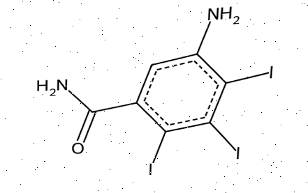 NC(=O)c1cc(N)c(I)c(I)c1I